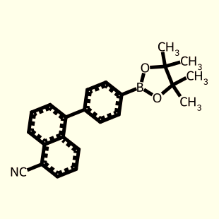 CC1(C)OB(c2ccc(-c3cccc4c(C#N)cccc34)cc2)OC1(C)C